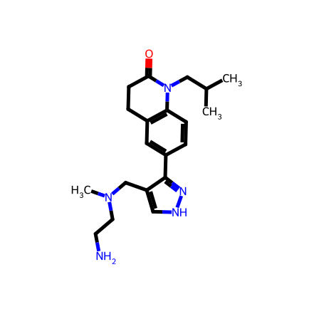 CC(C)CN1C(=O)CCc2cc(-c3n[nH]cc3CN(C)CCN)ccc21